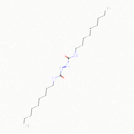 CCCCCCCCCNC(=O)N=NC(=O)NCCCCCCCCC